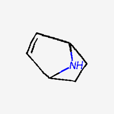 C1=CC2CCC1N2